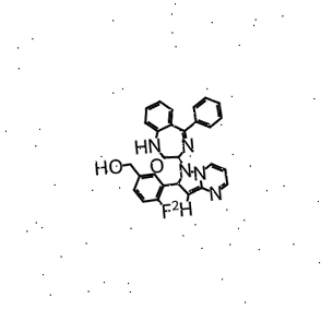 [2H]C1=C2N=CC=CN2N([C@@H]2N=C(c3ccccc3)c3ccccc3NC2=O)C1c1cc(CO)ccc1F